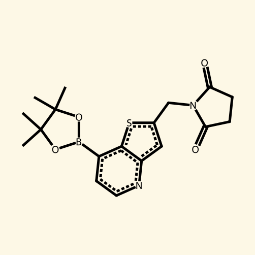 CC1(C)OB(c2ccnc3cc(CN4C(=O)CCC4=O)sc23)OC1(C)C